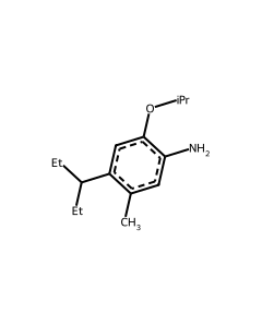 CCC(CC)c1cc(OC(C)C)c(N)cc1C